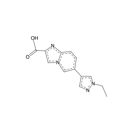 CCn1cc(-c2ccc3nc(C(=O)O)cn3c2)cn1